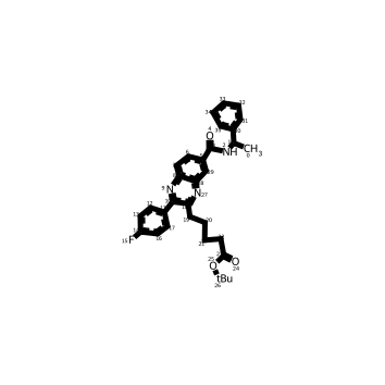 CC(NC(=O)c1ccc2nc(-c3ccc(F)cc3)c(CCCCC(=O)OC(C)(C)C)nc2c1)c1ccccc1